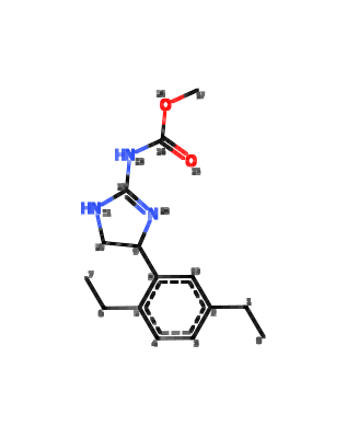 CCc1ccc(CC)c(C2CNC(NC(=O)OC)=N2)c1